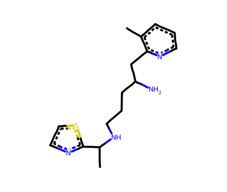 Cc1cccnc1CC(N)CCCNC(C)c1nccs1